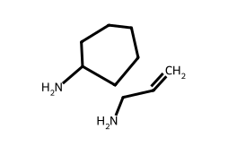 C=CCN.NC1CCCCC1